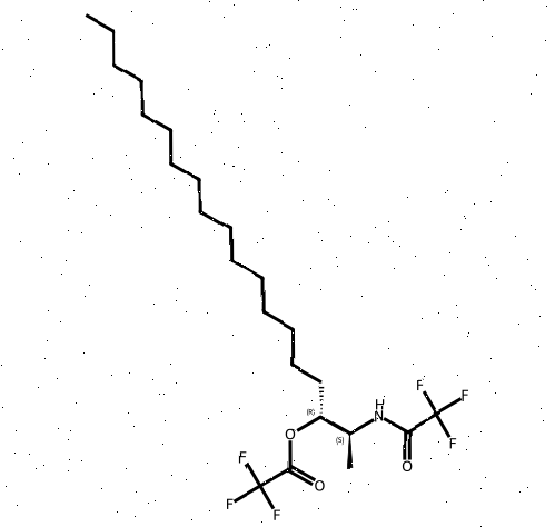 CCCCCCCCCCCCCCCC[C@@H](OC(=O)C(F)(F)F)[C@H](C)NC(=O)C(F)(F)F